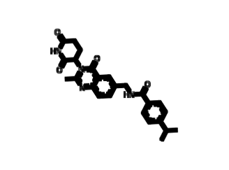 Cc1nc2ccc(CNC(=O)c3ccc(C(C)C)cc3)cc2c(=O)n1C1CCC(=O)NC1=O